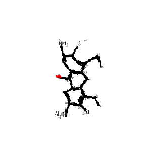 CCc1cc(N)c(Cl)c(CC)c1Cc1c(CC)cc(N)c(Cl)c1CC